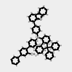 Cc1cc(-c2ccccc2)ccc1-c1ccc(N(c2ccc(-c3cccc4c3oc3ccccc34)cc2)c2cccc3c2-c2ccccc2C3(c2ccccc2)c2ccccc2)cc1